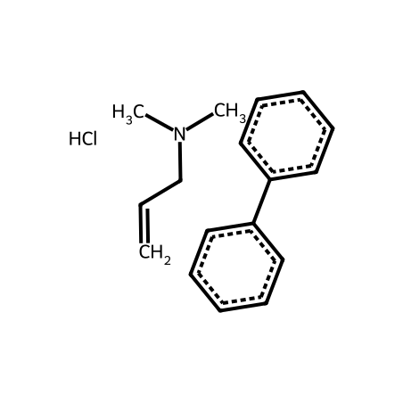 C=CCN(C)C.Cl.c1ccc(-c2ccccc2)cc1